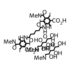 CNC(=O)c1c(I)c(NC(=O)CCCCC(=O)Nc2c(I)c(C(=O)O)c(I)c(C(=O)NC)c2I)c(I)c(C(=O)O)c1I.CNC[C@H](O)[C@@H](O)[C@H](O)[C@H](O)CO.CNC[C@H](O)[C@@H](O)[C@H](O)[C@H](O)CO